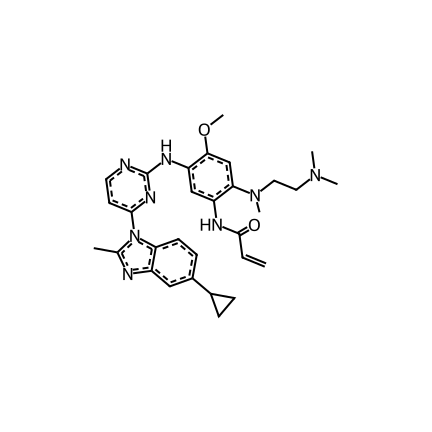 C=CC(=O)Nc1cc(Nc2nccc(-n3c(C)nc4cc(C5CC5)ccc43)n2)c(OC)cc1N(C)CCN(C)C